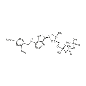 COc1ccc(CNc2ncnc3c2ncn3[C@H]2C[C@@H](O)[C@@H](COP(=O)(O)OP(=O)(O)OP(=O)(O)O)O2)c([N+](=O)[O-])c1